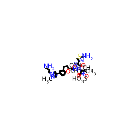 C[n+]1cc(-c2ccc3c(c2)CC[C@@H](C(C)(O/N=C(\C(=O)N[C@@H]2C(=O)N(OS(=O)(=O)O)C2(C)C)c2csc(N)n2)C(=O)O)O3)cn1CCCN